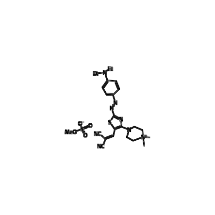 CCN(CC)c1ccc(N=Nc2nc(N3CC[N+](C)(C)CC3)c(C=C(C#N)C#N)s2)cc1.COS(=O)(=O)[O-]